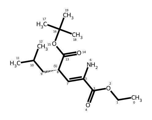 CCOC(=O)C(N)=C[C@H](CC(C)C)C(=O)OC(C)(C)C